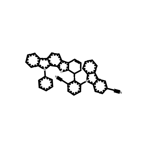 N#Cc1ccc2c(c1)c1ccccc1n2-c1cccc(C#N)c1C1CC=Cc2c1oc1c2ccc2c3ccccc3n(-c3ccccc3)c21